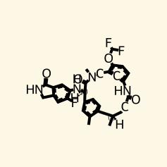 Cc1cc2ccc1[C@@H](C)CCC(=O)Nc1ccc(OC(F)F)c(c1)CN(C)C(=O)[C@@H]2Nc1cc2c(cc1F)CNC2=O